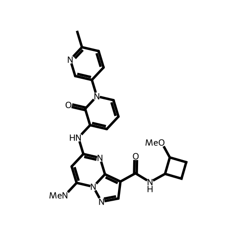 CNc1cc(Nc2cccn(-c3ccc(C)nc3)c2=O)nc2c(C(=O)NC3CCC3OC)cnn12